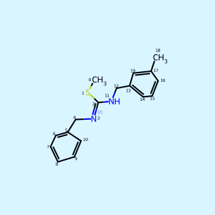 CS/C(=N\Cc1ccccc1)NCc1cccc(C)c1